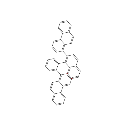 c1ccc(-c2cccc3c2ccc2ccccc23)c(-c2c(-c3cccc4c3ccc3ccccc34)ccc3ccccc23)c1